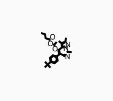 CCCC(=O)OC(C)O/C(=C(/C#N)c1ccc(C(C)(C)C)cc1)c1c(C)c(C)nn1CC